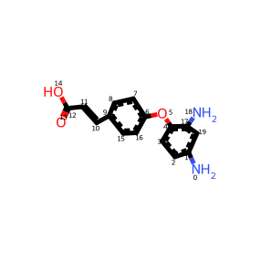 Nc1ccc(Oc2ccc(/C=C/C(=O)O)cc2)c(N)c1